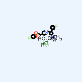 CC(C)[C@H](C(=O)O)N(C)C1CC(CN2CCC(CCS(=O)(=O)c3ccc(F)cc3)CC2)C(c2cccc(F)c2)C1.Cl.Cl